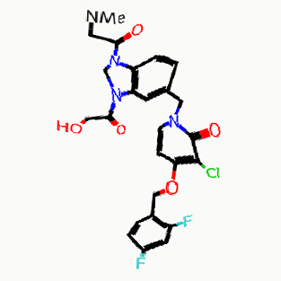 CNCC(=O)N1CN(C(=O)CO)c2cc(Cn3ccc(OCc4ccc(F)cc4F)c(Cl)c3=O)ccc21